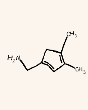 CC1=C(C)CC(CN)=C1